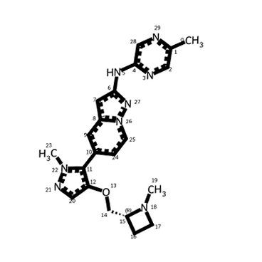 Cc1cnc(Nc2cc3cc(-c4c(OC[C@H]5CCN5C)cnn4C)ccn3n2)cn1